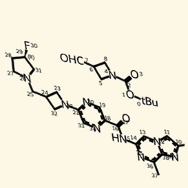 CC(C)(C)OC(=O)N1CC(C=O)C1.Cc1cn2cc(NC(=O)c3cnc(N4CC(CN5CC[C@@H](F)C5)C4)cn3)nc(C)c2n1